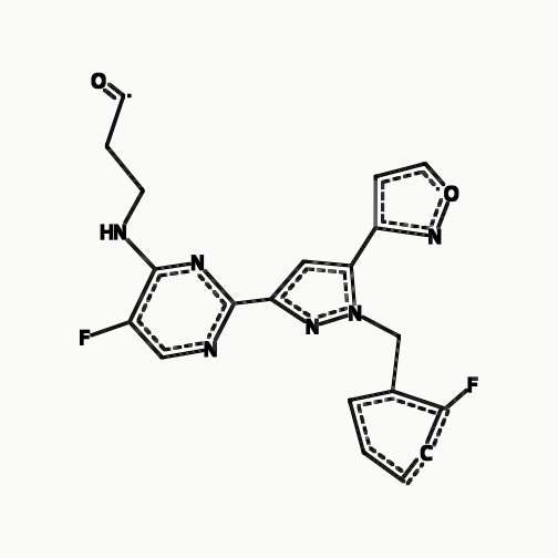 O=[C]CCNc1nc(-c2cc(-c3ccon3)n(Cc3ccccc3F)n2)ncc1F